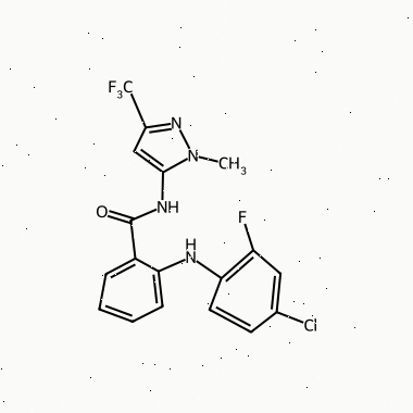 Cn1nc(C(F)(F)F)cc1NC(=O)c1ccccc1Nc1ccc(Cl)cc1F